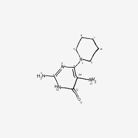 Nc1nc(N2CCCCC2)c(N)c(=O)[nH]1